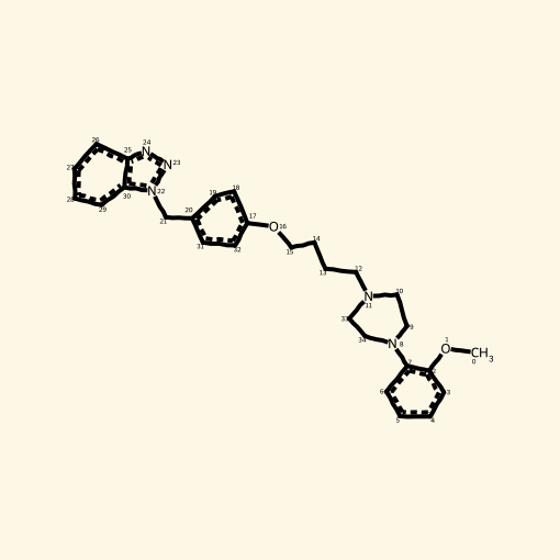 COc1ccccc1N1CCN(CCCCOc2ccc(Cn3nnc4ccccc43)cc2)CC1